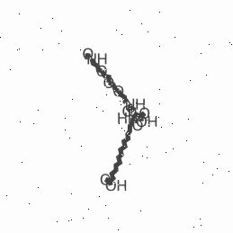 O=CNCCCOCCOCCOCCCNC(=O)C[C@H](NC(=O)CCCCCCCCCCCCCCC(=O)O)C(=O)O